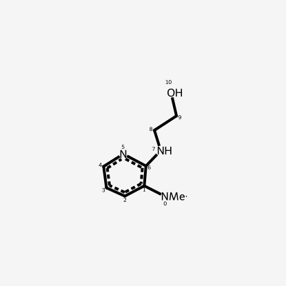 C[N]c1cccnc1NCCO